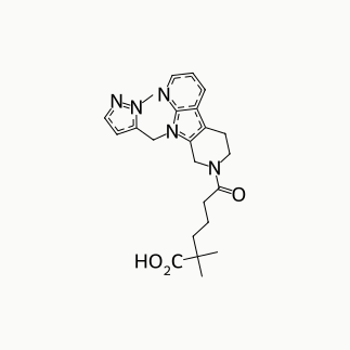 Cn1nccc1Cn1c2c(c3cccnc31)CCN(C(=O)CCCC(C)(C)C(=O)O)C2